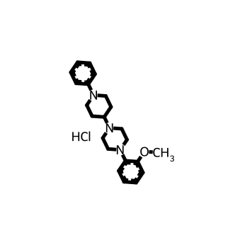 COc1ccccc1N1CCN(C2CCN(c3ccccc3)CC2)CC1.Cl